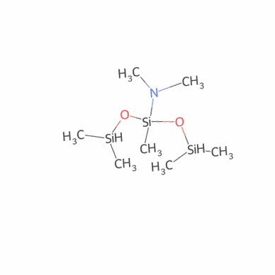 CN(C)[Si](C)(O[SiH](C)C)O[SiH](C)C